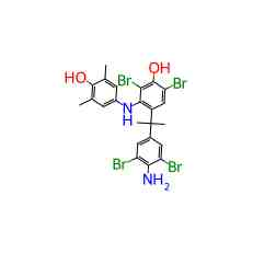 Cc1cc(Nc2c(C(C)(C)c3cc(Br)c(N)c(Br)c3)cc(Br)c(O)c2Br)cc(C)c1O